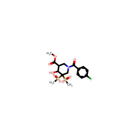 COC(=O)C1CN(C(=O)c2ccc(F)cc2)CC(S(C)(=O)=O)(S(C)(=O)=O)C1O